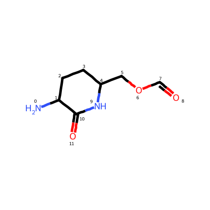 NC1CCC(COC=O)NC1=O